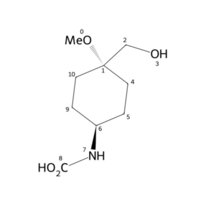 CO[C@]1(CO)CC[C@@H](NC(=O)O)CC1